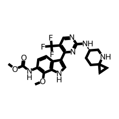 COC(=O)Nc1ccc2c(-c3nc(N[C@H]4CCC5(CC5)NC4)ncc3C(F)(F)F)c[nH]c2c1OC